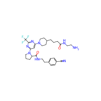 N#Cc1ccc(CCNC(=O)C2CCCN2c2cc(N3CCC(CCCC(=O)NCCN)CC3)nc(C(F)(F)F)n2)cc1